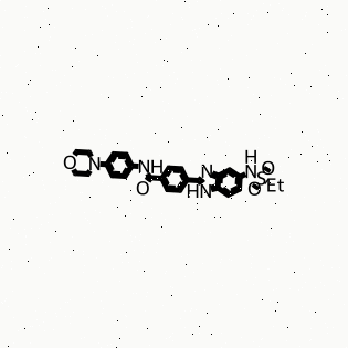 CCS(=O)(=O)Nc1ccc2[nH]c(-c3ccc(C(=O)Nc4ccc(N5CCOCC5)cc4)cc3)nc2c1